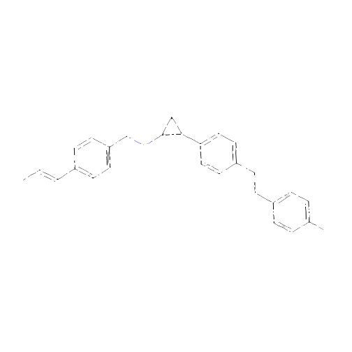 C/C=C/c1ccc(CNC2CC2c2ccc(CCc3ccc(F)cc3)cc2)cc1